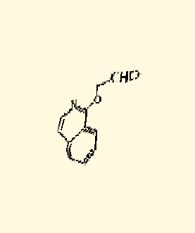 O=[C]COc1nccc2ccccc12